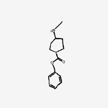 CNC1CCN(C(=O)Oc2ccccc2)CC1